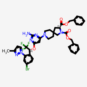 Cc1ccn(-c2cc(Br)ccc2[C@@H](Oc2cc(N3CCC4(CC3)C[C@@H](C(=O)OCc3ccccc3)N(C(=O)OCc3ccccc3)C4)nc(N)n2)C(F)(F)F)n1